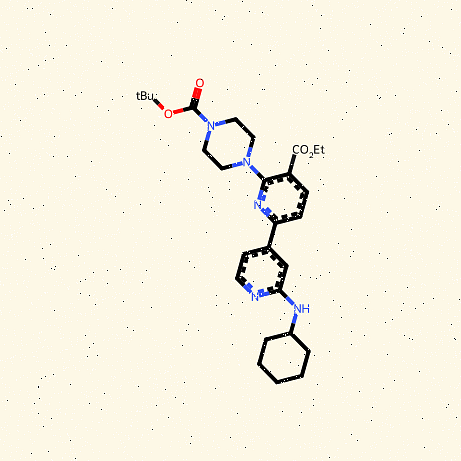 CCOC(=O)c1ccc(-c2ccnc(NC3CCCCC3)c2)nc1N1CCN(C(=O)OC(C)(C)C)CC1